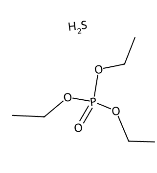 CCOP(=O)(OCC)OCC.S